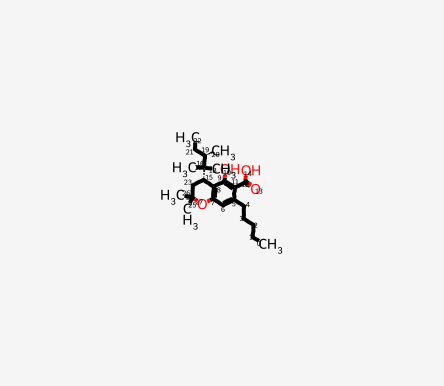 CCCCCc1cc2c(c(O)c1C(=O)O)[C@@H](C(C)(C)[C@@H](C)CC)CC(C)(C)O2